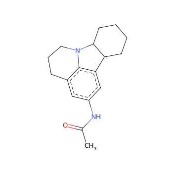 CC(=O)Nc1cc2c3c(c1)C1CCCCC1N3CCC2